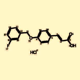 Cl.O=C(O)C=Cc1ccc(OCc2cccc(F)c2)cc1